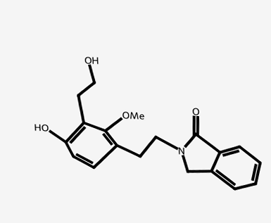 COc1c(CCN2Cc3ccccc3C2=O)ccc(O)c1CCO